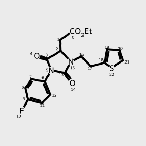 CCOC(=O)CC1C(=O)N(c2ccc(F)cc2)C(=O)N1CCc1cccs1